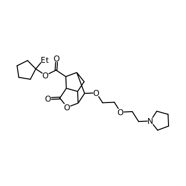 CCC1(OC(=O)C2C3CC4C(OC(=O)C42)C3OCCOCCN2CCCC2)CCCC1